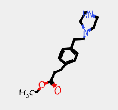 CCOC(=O)CCc1ccc(CCN2CCNCC2)cc1